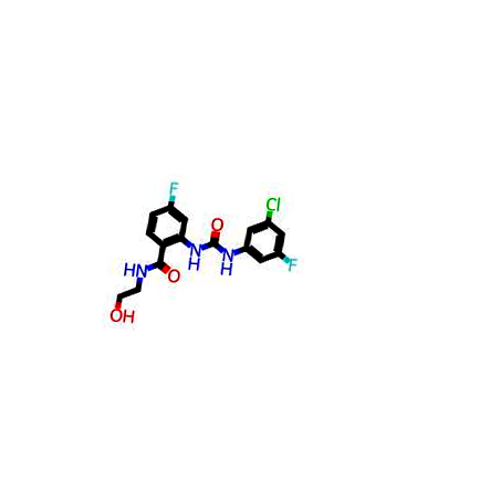 O=C(Nc1cc(F)cc(Cl)c1)Nc1cc(F)ccc1C(=O)NCCO